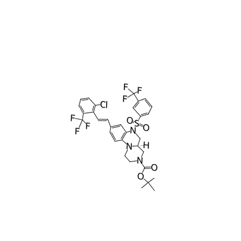 CC(C)(C)OC(=O)N1CCN2c3ccc(/C=C/c4c(Cl)cccc4C(F)(F)F)cc3N(S(=O)(=O)c3cccc(C(F)(F)F)c3)C[C@H]2C1